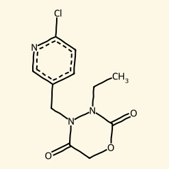 CCN1C(=O)OCC(=O)N1Cc1ccc(Cl)nc1